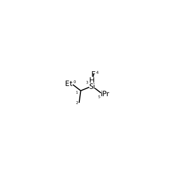 CCC(C)[SiH](F)C(C)C